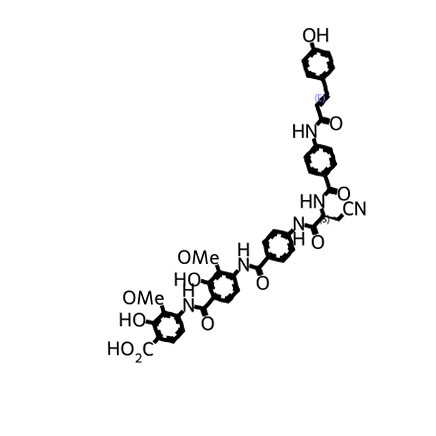 COc1c(NC(=O)c2ccc(NC(=O)c3ccc(NC(=O)[C@H](CC#N)NC(=O)c4ccc(NC(=O)/C=C/c5ccc(O)cc5)cc4)cc3)c(OC)c2O)ccc(C(=O)O)c1O